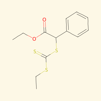 CCOC(=O)C(SC(=S)SCC)c1ccccc1